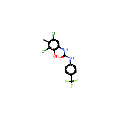 Cc1c(Cl)cc(NC(=O)Nc2ccc(C(F)(F)F)cc2)c(O)c1Cl